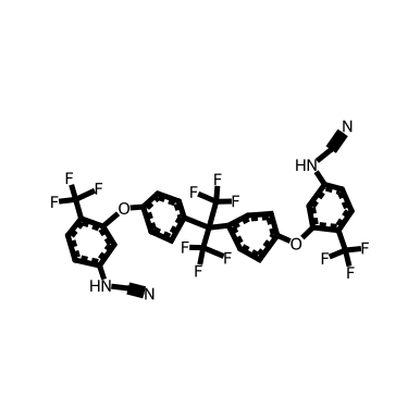 N#CNc1ccc(C(F)(F)F)c(Oc2ccc(C(c3ccc(Oc4cc(NC#N)ccc4C(F)(F)F)cc3)(C(F)(F)F)C(F)(F)F)cc2)c1